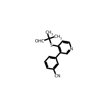 CC(C)(C=O)Sc1ccncc1-c1cccc(C#N)c1